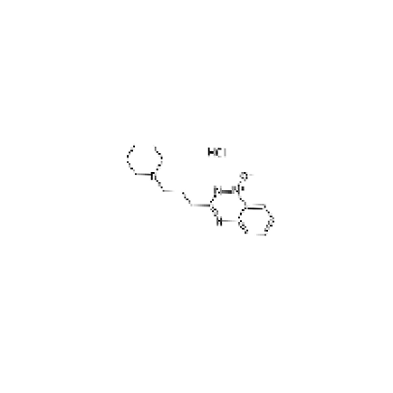 Cl.[O-][n+]1nc(CCCN2CCCCC2)nc2ccccc21